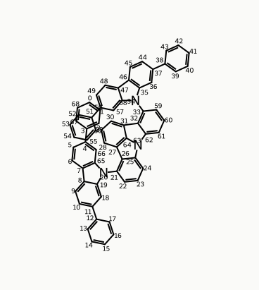 c1ccc(-c2ccc3c4ccc(-c5ccccc5)cc4n(-c4cccc5c4c4cccc6c7c(-n8c9cc(-c%10ccccc%10)ccc9c9ccc(-c%10ccccc%10)cc98)cccc7n5c46)c3c2)cc1